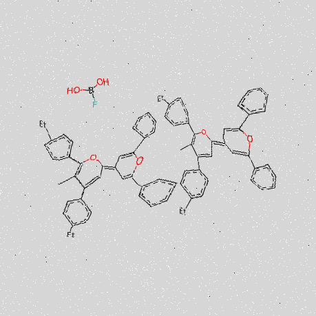 CCc1ccc(C2=CC(=C3C=C(c4ccccc4)OC(c4ccccc4)=C3)OC(c3ccc(CC)cc3)=C2C)cc1.CCc1ccc(C2=CC(=C3C=C(c4ccccc4)OC(c4ccccc4)=C3)OC(c3ccc(CC)cc3)=C2C)cc1.OB(O)F